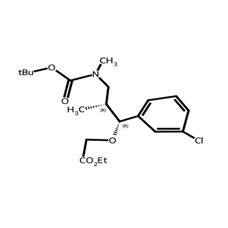 CCOC(=O)CO[C@@H](c1cccc(Cl)c1)[C@H](C)CN(C)C(=O)OC(C)(C)C